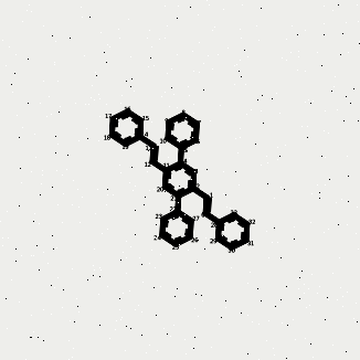 C(=Cc1cc(-c2ccccc2)c(C=Cc2ccccc2)cc1-c1ccccc1)c1ccccc1